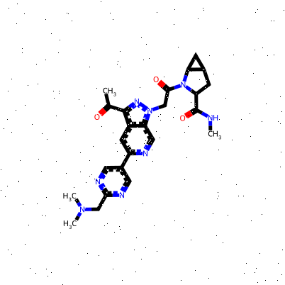 CNC(=O)C1CC2CC2N1C(=O)Cn1nc(C(C)=O)c2cc(-c3cnc(CN(C)C)nc3)ncc21